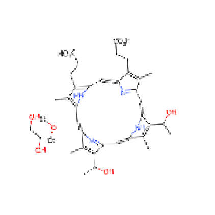 CC1=C(CCC(=O)O)c2cc3[nH]c(cc4nc(cc5[nH]c(cc1n2)c(C(C)O)c5C)C(C(C)O)=C4C)c(C)c3CCC(=O)O.CCOCC.OCCO